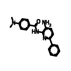 CN(C)c1ccc(C(=O)Nc2nc(-c3ccccc3)ccc2N)cc1